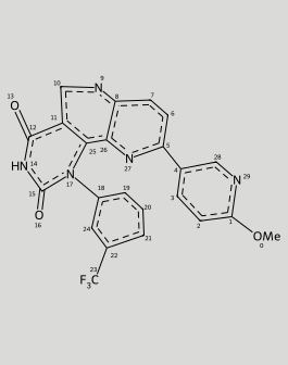 COc1ccc(-c2ccc3ncc4c(=O)[nH]c(=O)n(-c5cccc(C(F)(F)F)c5)c4c3n2)cn1